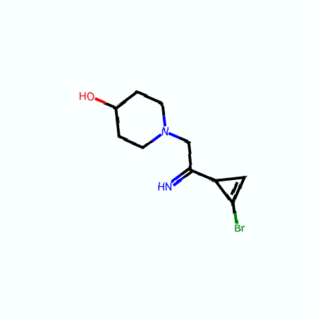 N=C(CN1CCC(O)CC1)C1C=C1Br